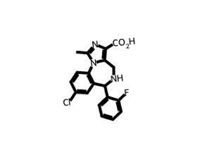 Cc1nc(C(=O)O)c2n1-c1ccc(Cl)cc1C(c1ccccc1F)NC2